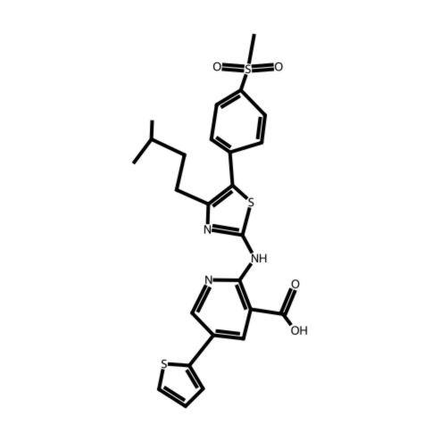 CC(C)CCc1nc(Nc2ncc(-c3cccs3)cc2C(=O)O)sc1-c1ccc(S(C)(=O)=O)cc1